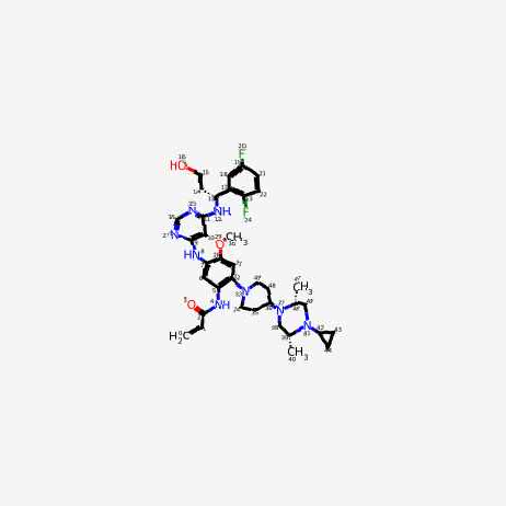 C=CC(=O)Nc1cc(Nc2cc(N[C@H](CCO)c3cc(F)ccc3F)ncn2)c(OC)cc1N1CCC(N2C[C@@H](C)N(C3CC3)C[C@H]2C)CC1